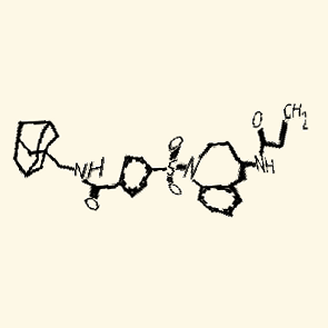 C=CC(=O)NC1CCN(S(=O)(=O)c2ccc(C(=O)NCC34CC5CC(CC(C5)C3)C4)cc2)c2ccccc21